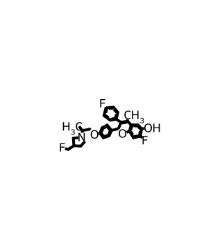 CC1=C(c2ccc(F)cc2)C(c2ccc(OCC(C)N3CCC(CF)C3)cc2)Oc2cc(F)c(O)cc21